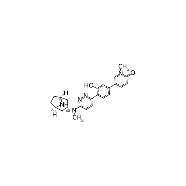 CN(c1ccc(-c2ccc(-c3ccc(=O)n(C)c3)cc2O)nn1)[C@@H]1C[C@H]2CC[C@@H](C1)N2